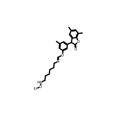 CCONCCCCCC/N=C/Oc1cc(C)cc(C2C(=O)Oc3c(C)cc(C)cc32)c1